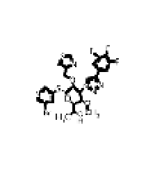 CO[C@H]1C(C(C)O)O[C@H](Sc2cncc(Br)c2)C(OCc2cscn2)C1n1cc(-c2cc(F)c(F)c(F)c2)nn1